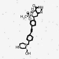 CS(=O)(=O)NC(Cc1nc[nH]c(=O)c1O)c1ccc(C#Cc2ccc(CN3CCNC[C@H]3CO)cc2)cc1